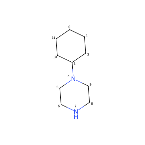 C1CC[C](N2CCNCC2)CC1